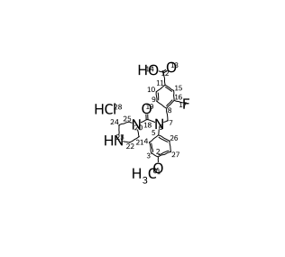 COc1ccc(N(Cc2ccc(C(=O)O)cc2F)C(=O)N2CCNCC2)cc1.Cl